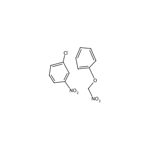 O=[N+]([O-])COc1ccccc1.O=[N+]([O-])c1cccc(Cl)c1